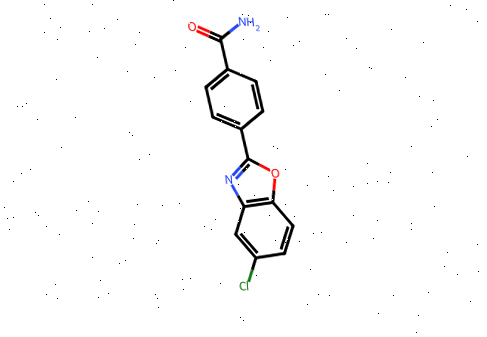 NC(=O)c1ccc(-c2nc3cc(Cl)ccc3o2)cc1